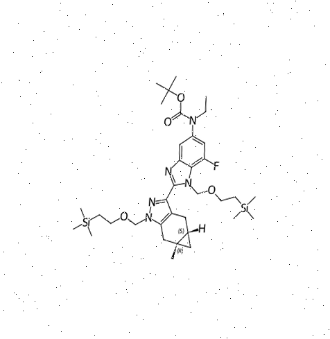 CCN(C(=O)OC(C)(C)C)c1cc(F)c2c(c1)nc(-c1nn(COCC[Si](C)(C)C)c3c1C[C@@H]1C[C@]1(C)C3)n2COCC[Si](C)(C)C